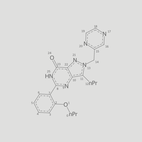 CCCOc1ccccc1-c1nc2c(CCC)n(Cc3cnccn3)nc2c(=O)[nH]1